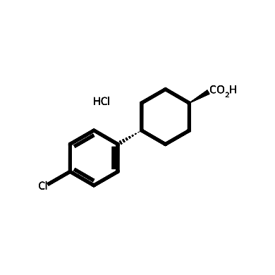 Cl.O=C(O)[C@H]1CC[C@H](c2ccc(Cl)cc2)CC1